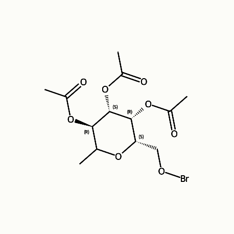 CC(=O)O[C@@H]1[C@H](OC(C)=O)[C@H](COBr)OC(C)[C@H]1OC(C)=O